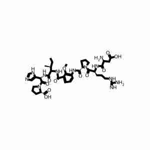 CC[C@H](C)C(NC(=O)c1cccc(NC(=O)[C@@H]2CCCN2C(=O)[C@H](CCCNC(=N)N)NC(=O)[C@@H](N)CC(=O)O)c1OC)C(=O)N[C@H](C(=O)N1CCC[C@H]1C(=O)O)c1cnc[nH]1